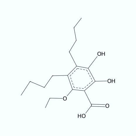 CCCCc1c(O)c(O)c(C(=O)O)c(OCC)c1CCCC